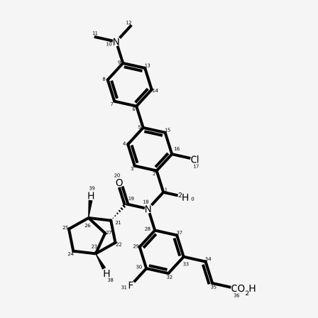 [2H]C(c1ccc(-c2ccc(N(C)C)cc2)cc1Cl)N(C(=O)[C@@H]1C[C@@H]2CC[C@H]1C2)c1cc(F)cc(/C=C/C(=O)O)c1